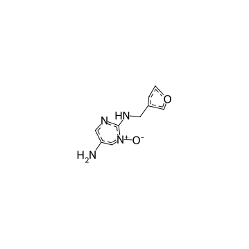 Nc1cnc(NCc2ccoc2)[n+]([O-])c1